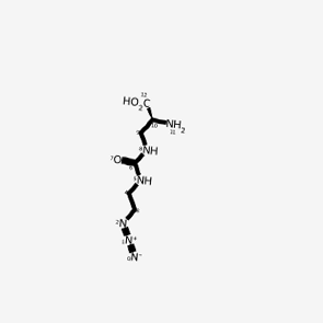 [N-]=[N+]=NCCNC(=O)NC[C@H](N)C(=O)O